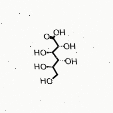 O=C(O)[C@H](O)[C@H](O)[C@H](O)[C@H](O)CO